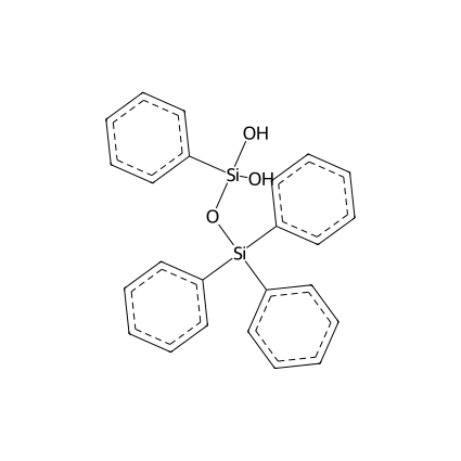 O[Si](O)(O[Si](c1ccccc1)(c1ccccc1)c1ccccc1)c1ccccc1